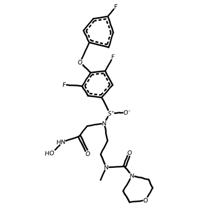 CN(CCN(CC(=O)NO)[S+]([O-])c1cc(F)c(Oc2ccc(F)cc2)c(F)c1)C(=O)N1CCOCC1